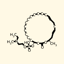 CCN(C)CCOP(=O)(O)O[C@@H]1CCCCCCCCCCCC/C=C/CC/C=C/C[C@H](C)OC(=O)C1